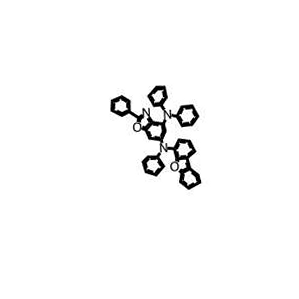 c1ccc(-c2nc3c(N(c4ccccc4)c4ccccc4)cc(N(c4ccccc4)c4cccc5c4oc4ccccc45)cc3o2)cc1